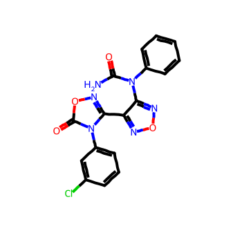 NC(=O)N(c1ccccc1)c1nonc1-c1noc(=O)n1-c1cccc(Cl)c1